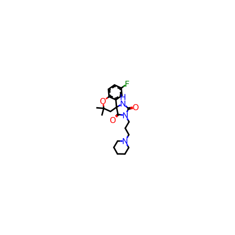 CC1(C)CC2(NC(=O)N(CCCN3CCCCC3)C2=O)c2cc(F)ccc2O1